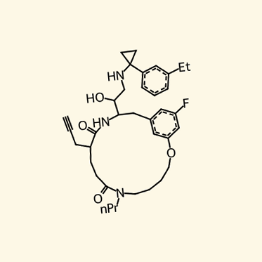 C#CCC1CCC(=O)N(CCC)CCCCOc2cc(F)cc(c2)CC(C(O)CNC2(c3cccc(CC)c3)CC2)NC1=O